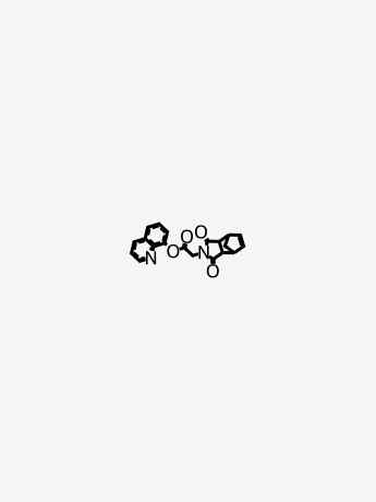 O=C(CN1C(=O)C2C3C=CC(C3)C2C1=O)Oc1cccc2cccnc12